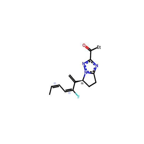 C=C(/C(F)=C\C=C/C)[C@@H]1CCc2nc(C(=O)CC)nn21